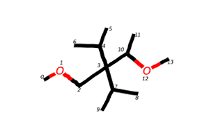 COCC(C(C)C)(C(C)C)C(C)OC